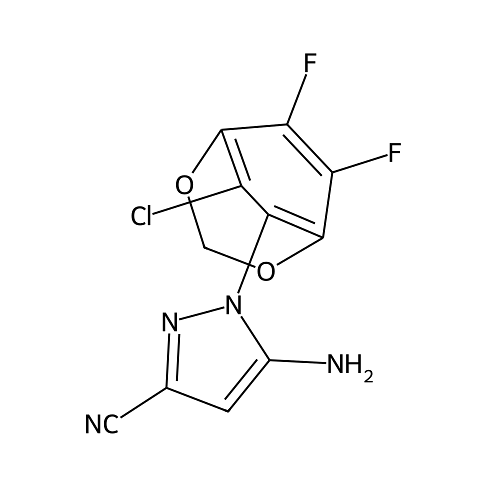 N#Cc1cc(N)n(-c2c(Cl)c3c(F)c(F)c2OCO3)n1